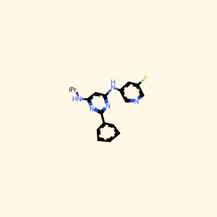 CC(C)Nc1cc(Nc2cncc(F)c2)nc(-c2ccccc2)n1